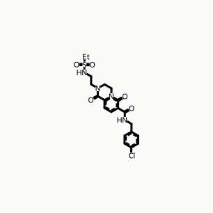 CCS(=O)(=O)NCCN1CCn2c(ccc(C(=O)NCc3ccc(Cl)cc3)c2=O)C1=O